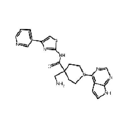 NCC1(C(=O)Nc2nc(-c3cccnc3)cs2)CCN(c2ncnc3[nH]ccc23)CC1